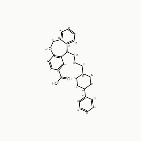 O=C(O)c1ccc2c(c1)C(SCCN1CCC(c3ccccc3)CC1)c1ccccc1CO2